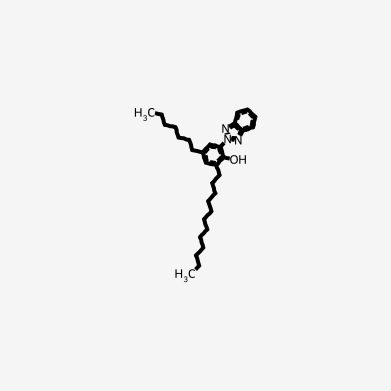 CCCCCCCCCCCCc1cc(CCCCCCC)cc(-n2nc3ccccc3n2)c1O